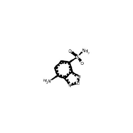 Nc1ccc(S(N)(=O)=O)c2nonc12